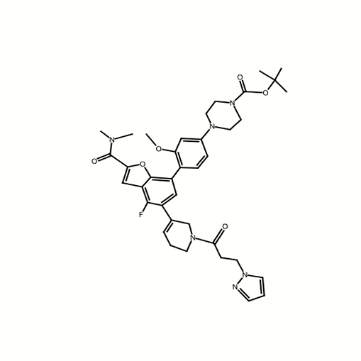 COc1cc(N2CCN(C(=O)OC(C)(C)C)CC2)ccc1-c1cc(C2=CCCN(C(=O)CCn3cccn3)C2)c(F)c2cc(C(=O)N(C)C)oc12